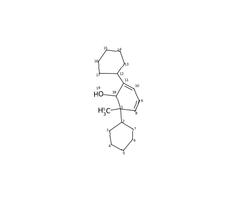 CC1(C2CCCCC2)C=CC=C(C2CCCCC2)C1O